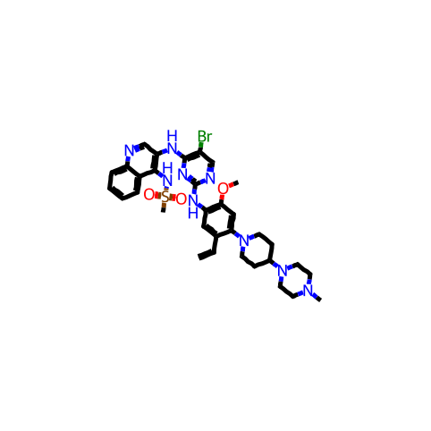 C=Cc1cc(Nc2ncc(Br)c(Nc3cnc4ccccc4c3NS(C)(=O)=O)n2)c(OC)cc1N1CCC(N2CCN(C)CC2)CC1